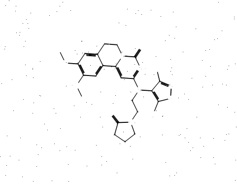 COc1cc2c(cc1OC)-c1cc(N(CCN3CCCC3=O)c3c(Cl)n[nH]c3Cl)nc(=O)n1CC2